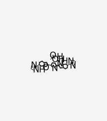 CC(=O)O.c1cc2cc(-c3ccc(-c4cc5ccc(C6=NCCCN6)cc5o4)cn3)[nH]c2cc1C1=NCCCN1